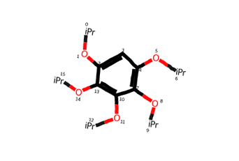 CC(C)Oc1[c]c(OC(C)C)c(OC(C)C)c(OC(C)C)c1OC(C)C